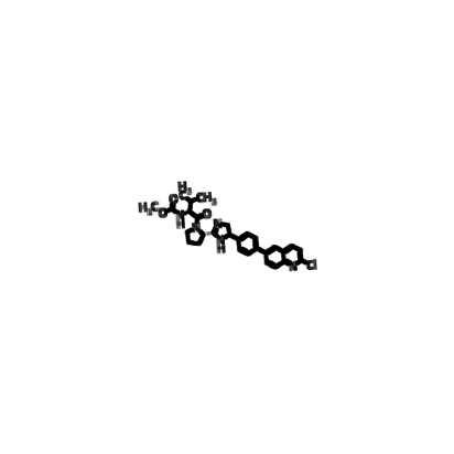 COC(=O)N[C@H](C(=O)N1CCC[C@H]1C1=NCC(c2ccc(-c3ccc4nc(Cl)ccc4c3)cc2)N1)C(C)C